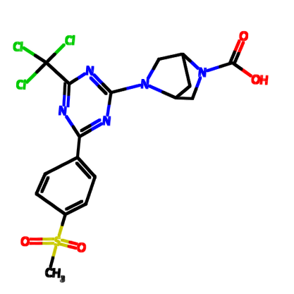 CS(=O)(=O)c1ccc(-c2nc(N3CC4CC3CN4C(=O)O)nc(C(Cl)(Cl)Cl)n2)cc1